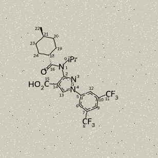 CC(C)N(c1nn(-c2cc(C(F)(F)F)cc(C(F)(F)F)c2)cc1C(=O)O)C(=O)[C@H]1CC[C@H](C)CC1